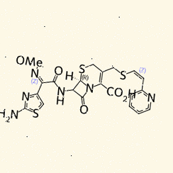 CO/N=C(\C(=O)NC1C(=O)N2C(C(=O)O)=C(CS/C=C\c3ccccn3)CS[C@H]12)c1csc(N)n1